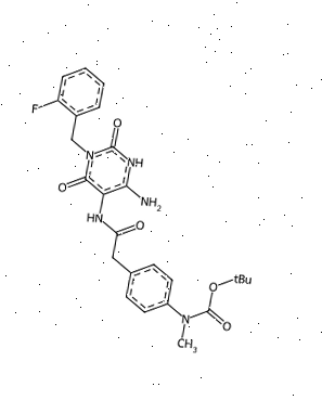 CN(C(=O)OC(C)(C)C)c1ccc(CC(=O)Nc2c(N)[nH]c(=O)n(Cc3ccccc3F)c2=O)cc1